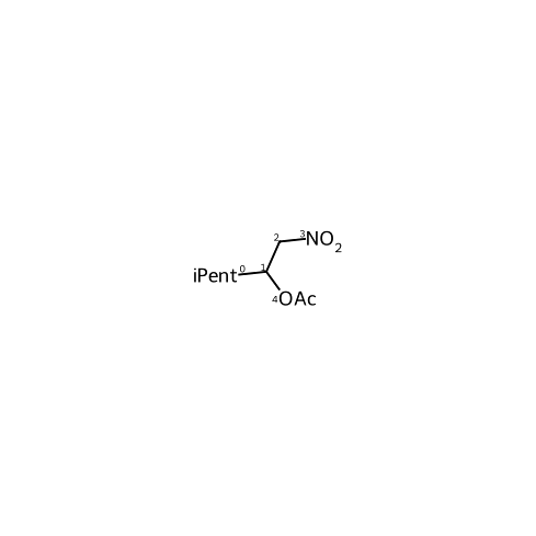 CCCC(C)C(C[N+](=O)[O-])OC(C)=O